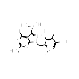 Cc1c[n+]([O-])c(Cn2nc(N(C)C)c3c(Cl)nc(N)nc32)c(C)c1I